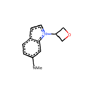 CNc1ccc2ccn(C3COC3)c2c1